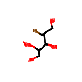 OCC(O)C(O)C(S)CO